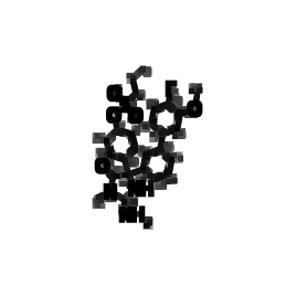 CCCS(=O)(=O)Oc1ccc(C2(c3cccc(-c4ccc(F)c(OC)c4)c3)NC(N)N(C)C2=O)cc1